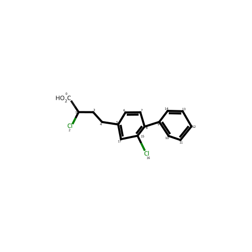 O=C(O)C(Cl)CCc1ccc(-c2ccccc2)c(Cl)c1